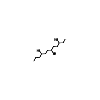 [CH2]CC(S)CCC(S)CCC(S)CCC